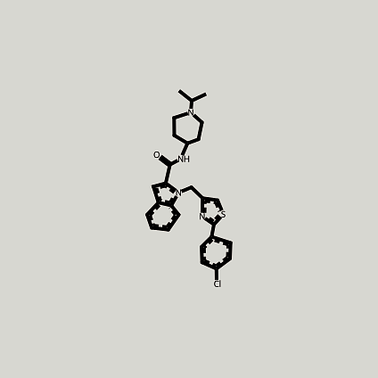 CC(C)N1CCC(NC(=O)c2cc3ccccc3n2Cc2csc(-c3ccc(Cl)cc3)n2)CC1